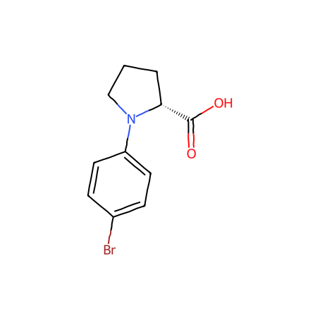 O=C(O)[C@H]1CCCN1c1ccc(Br)cc1